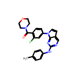 Cc1ccc(Nc2ncc3ccn(-c4ccc(C(=O)N5CCOCC5)c(F)c4)c3n2)cc1